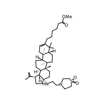 C=C(C)[C@@H]1CC[C@]2(NCCN3CCS(=O)(=O)CC3)CC[C@]3(C)[C@H](CC[C@@H]4[C@@]5(C)CC=C(CCCCCC(=O)OC)C(C)(C)[C@@H]5CC[C@]43C)[C@@H]12